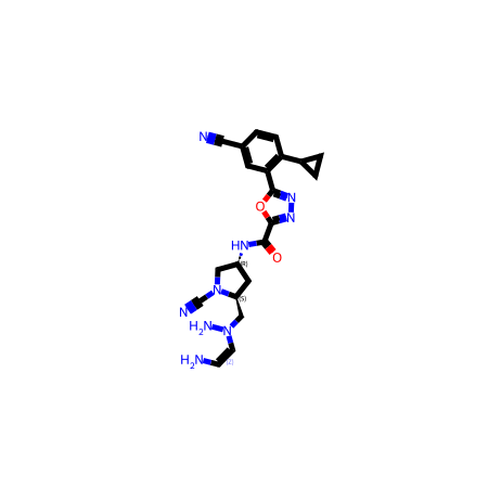 N#Cc1ccc(C2CC2)c(-c2nnc(C(=O)N[C@@H]3C[C@@H](CN(N)/C=C\N)N(C#N)C3)o2)c1